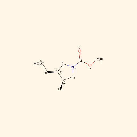 C[C@@H]1CN(C(=O)OC(C)(C)C)C[C@@H]1CC(=O)O